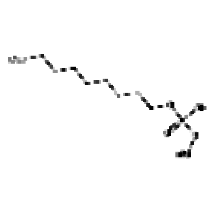 CCCCCCCCCCCCCCCCCCOP(=O)(O)OCCCC